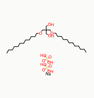 CCCCCCCCCCCCOCC(CO)(CO)COCCCCCCCCCCCC.O=S(=O)(O)O.O=S(=O)(O)O.[Na]